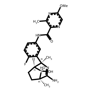 COc1cnc(C(=O)Nc2ccc(F)c([C@@]3(C)N=C(N)[C@@]4(C)CC[C@@H]3S4(O)O)c2)c(C)n1